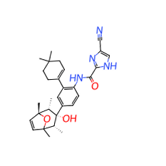 C[C@@H]1C2(C)C=C[C@@](C)(O2)[C@H](C)[C@@]1(O)c1ccc(NC(=O)c2nc(C#N)c[nH]2)c(C2=CCC(C)(C)CC2)c1